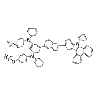 COc1ccc(N(c2ccccc2)c2cc(-c3ccc4cc(-c5ccc6c(c5)c5c7ccccc7c7ccccc7c5n6-c5ccccc5)ccc4c3)cc(N(c3ccccc3)c3ccc(C)cc3)c2)cc1